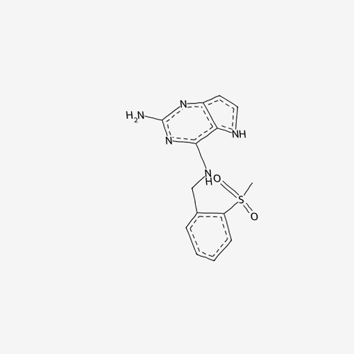 CS(=O)(=O)c1ccccc1CNc1nc(N)nc2cc[nH]c12